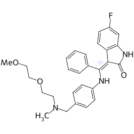 COCCOCCN(C)Cc1ccc(N/C(=C2\C(=O)Nc3cc(F)ccc32)c2ccccc2)cc1